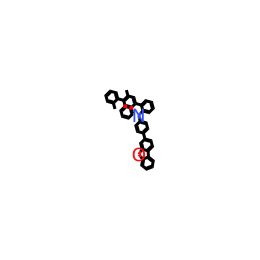 Cc1ccccc1-c1ccc(-c2ccccc2N(c2ccccc2)c2ccc(-c3ccc4c(c3)oc3ccccc34)cc2)cc1C